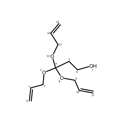 C=CCOC(CCO)(OCC=C)OCC=C